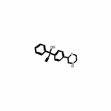 C#CC(O)(c1ccccc1)c1ccc(C2CNCCO2)cc1